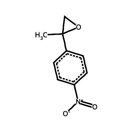 CC1(c2ccc([N+](=O)[O-])cc2)CO1